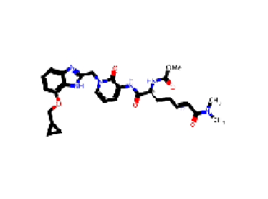 COC(=O)N[C@@H](CC/C=C/C(=O)N(C)C)C(=O)Nc1cccn(Cc2nc3cccc(OCC4CC4)c3[nH]2)c1=O